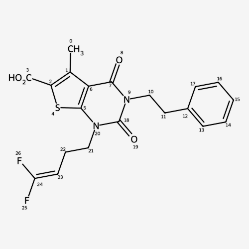 Cc1c(C(=O)O)sc2c1c(=O)n(CCc1ccccc1)c(=O)n2CCC=C(F)F